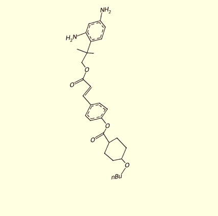 CCCCOC1CCC(C(=O)Oc2ccc(/C=C/C(=O)OCC(C)(C)c3ccc(N)cc3N)cc2)CC1